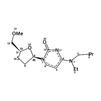 CCN(CC(C)C)c1ccn([C@H]2CS[C@@H](COC)O2)c(=O)n1